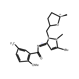 COc1ccc(C(F)(F)F)cc1C(=O)/N=c1\cc(C(C)(C)C)n(C)n1CC1CC[C@@H](C)O1